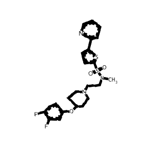 CN(CCN1CCC(Oc2ccc(F)c(F)c2)CC1)S(=O)(=O)c1ccc(-c2ccccn2)s1